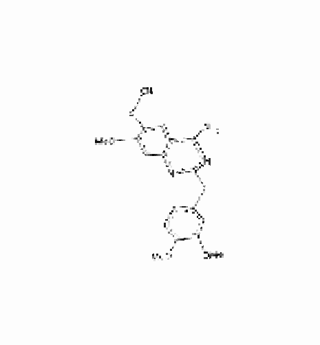 COc1ccc(Cc2nc(N)c3cc(SC#N)c(OC)cc3n2)cc1OC